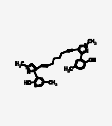 Cc1ccc(O)c(-c2nn(C)cc2C#CCCCCC#Cc2cn(C)nc2-c2cc(C)ccc2O)c1